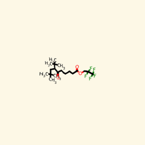 CC(C)(C)CC(C(=O)CCCCC(=O)OCC(F)(F)C(F)(F)F)C(C)(C)C